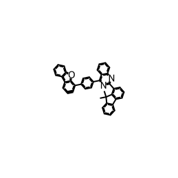 CC1(C)c2ccccc2-c2cccc(-c3nc(-c4ccc(-c5c#ccc6c5oc5ccccc56)cc4)c4ccccc4n3)c21